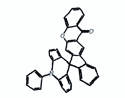 O=c1c2ccccc2oc2cc3c(cc12)-c1ccccc1C31c2ccccc2N(c2ccccc2)c2ccccc21